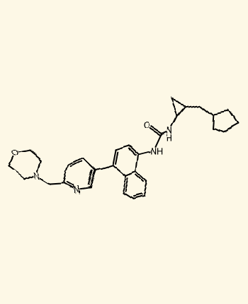 O=C(Nc1ccc(-c2ccc(CN3CCOCC3)nc2)c2ccccc12)NC1CC1CC1CCCC1